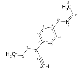 C#CC(CC=C)c1ccc(C/N=C\C)cc1